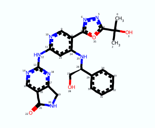 CC(C)(O)c1nnc(-c2cnc(Nc3ncc4c(n3)CNC4=O)cc2N[C@H](CO)c2ccccc2)o1